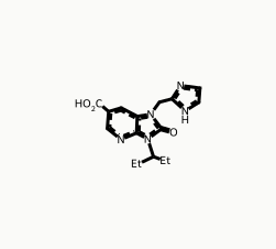 CCC(CC)n1c(=O)n(Cc2ncc[nH]2)c2cc(C(=O)O)cnc21